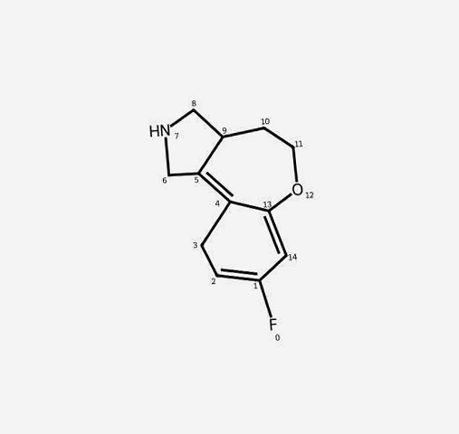 FC1=CCC2=C3CNCC3CCOC2=C1